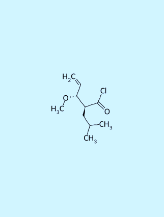 C=C[C@@H](OC)[C@H](CC(C)C)C(=O)Cl